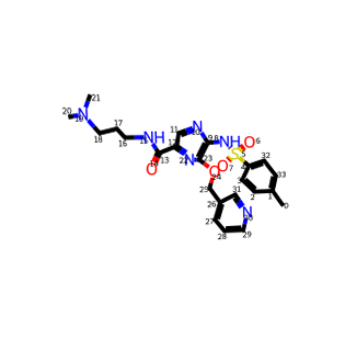 Cc1ccc(S(=O)(=O)Nc2ncc(C(=O)NCCCN(C)C)nc2OCc2cccnc2)cc1